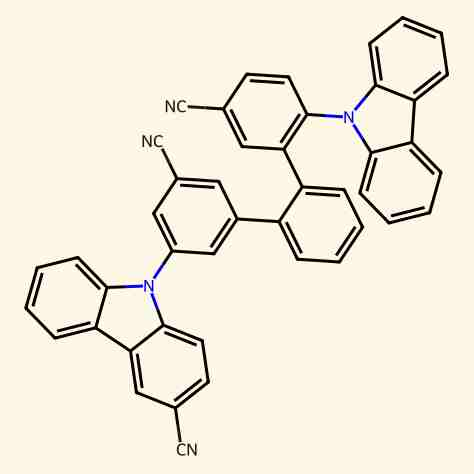 N#Cc1cc(-c2ccccc2-c2cc(C#N)ccc2-n2c3ccccc3c3ccccc32)cc(-n2c3ccccc3c3cc(C#N)ccc32)c1